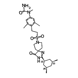 Cc1cc(N(C)C(N)=O)cc(C)c1CCS(=O)(=O)N1CCC2(CC1)N=C([C@@H]1C[C@H](C)C[C@H](C)C1)NC2=O